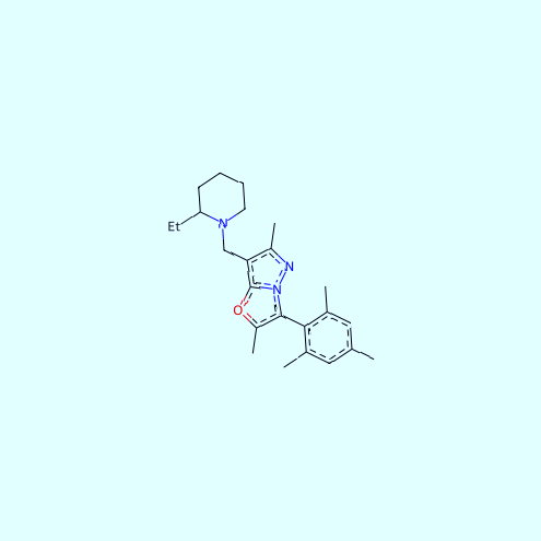 CCC1CCCCN1Cc1c(C)nn2c(-c3c(C)cc(C)cc3C)c(C)oc12